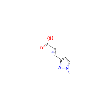 Cn1ccc(/C=C/C(=O)O)n1